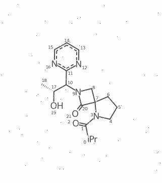 CC(C)C(=O)N1CCCC12CN(C(c1ncccn1)[C@@H](C)O)C2=O